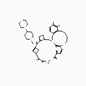 CO[C@@]1(CN2CCC(N3CCOCC3)CC2)C2=C[C@@H](C2)[C@H](C)[C@@H](C)S(=O)(=O)NC(=O)c2ccc3c(n2)N(Cc2ccc(Cl)c(F)c2CCCCO3)C[C@@H]2CC[C@H]21